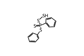 S=P(SS)(Sc1ccccc1)c1ccccc1